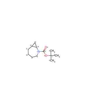 CC(C)(C)OC(=O)N1CCCCC2CC21